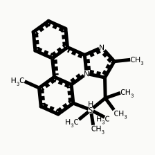 Cc1nc2c3ccccc3c3c(C)ccc4c3n2c1C(C)(C)[SH]4(C)(C)C